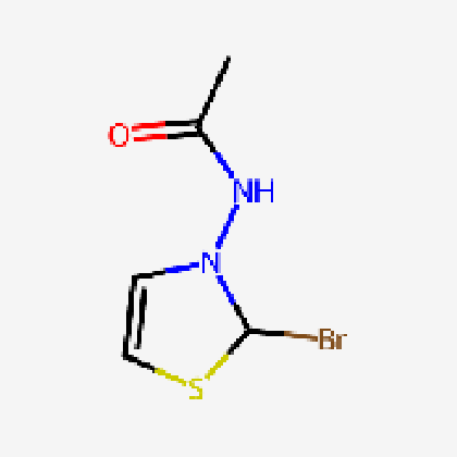 CC(=O)NN1C=CSC1Br